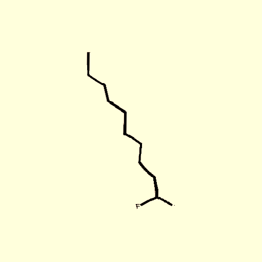 [CH2]C(F)CCCCCCCCC